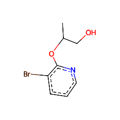 CC(CO)Oc1ncccc1Br